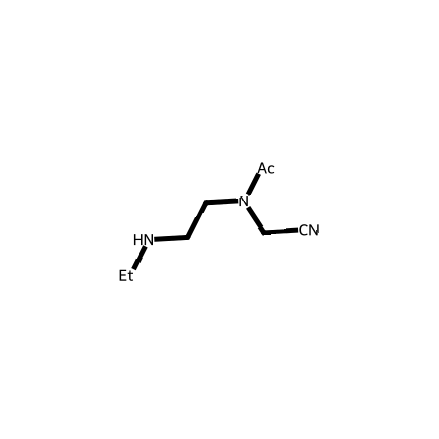 CCNCCN(CC#N)C(C)=O